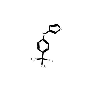 CC(C)(C)c1ccc(Oc2ccsc2)cc1